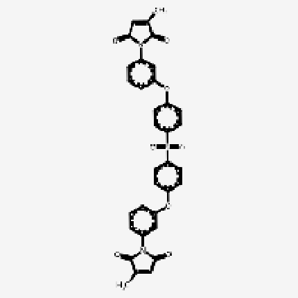 CC1=CC(=O)N(c2cccc(Oc3ccc(S(=O)(=O)c4ccc(Oc5cccc(N6C(=O)C=C(C)C6=O)c5)cc4)cc3)c2)C1=O